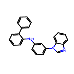 c1ccc(-c2ccccc2Nc2cccc(-n3cnc4ccccc43)c2)cc1